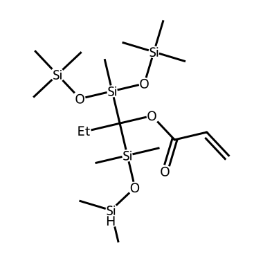 C=CC(=O)OC(CC)([Si](C)(C)O[SiH](C)C)[Si](C)(O[Si](C)(C)C)O[Si](C)(C)C